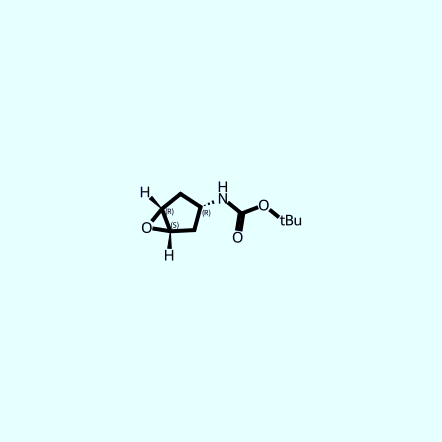 CC(C)(C)OC(=O)N[C@@H]1C[C@@H]2O[C@@H]2C1